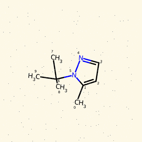 Cc1c[c]nn1C(C)(C)C